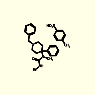 CCNC(=O)N(C)C1(c2ccccc2)CCN(Cc2ccccc2)CC1.Cc1ccc(S(=O)(=O)O)cc1